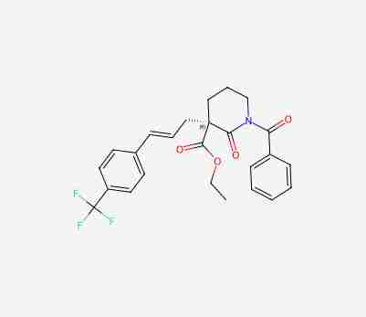 CCOC(=O)[C@@]1(CC=Cc2ccc(C(F)(F)F)cc2)CCCN(C(=O)c2ccccc2)C1=O